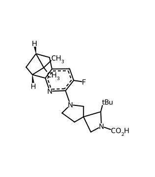 CC(C)(C)C1N(C(=O)O)CC12CCN(c1nc3c(cc1F)C[C@H]1C[C@@H]3C1(C)C)C2